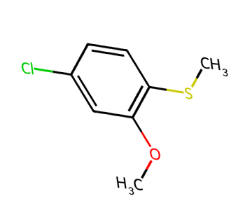 COc1cc(Cl)ccc1SC